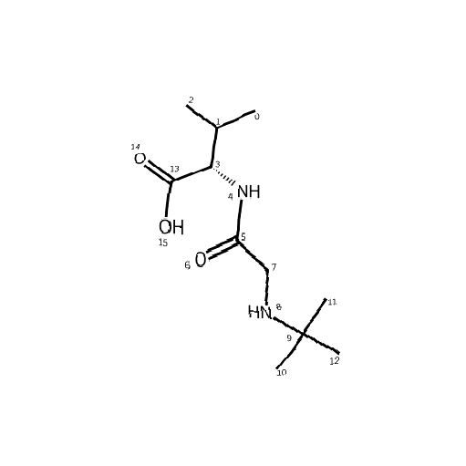 CC(C)[C@H](NC(=O)CNC(C)(C)C)C(=O)O